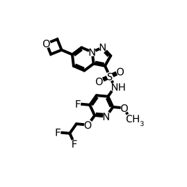 COc1nc(OCC(F)F)c(F)cc1NS(=O)(=O)c1cnn2cc(C3COC3)ccc12